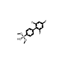 CO[Si](O)(OC)c1ccc(-c2c(F)cc(F)cc2F)cc1